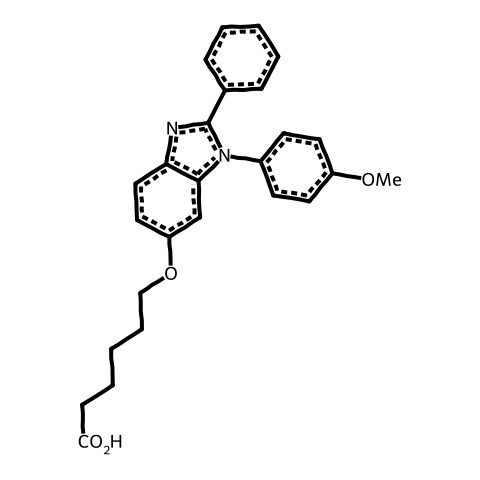 COc1ccc(-n2c(-c3ccccc3)nc3ccc(OCCCCCC(=O)O)cc32)cc1